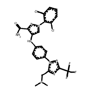 CN(C)Cc1nc(C(F)(F)F)nn1-c1ccc(Nc2cn(-c3c(Cl)cccc3Cl)nc2C(N)=O)cc1